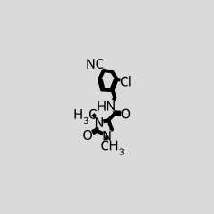 CN1CC(C(=O)NCC2=C(Cl)CC(C#N)C=C2)N(C)C1=O